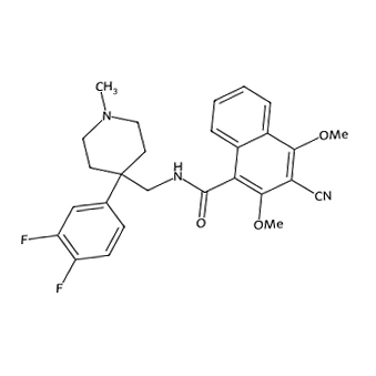 COc1c(C#N)c(OC)c2ccccc2c1C(=O)NCC1(c2ccc(F)c(F)c2)CCN(C)CC1